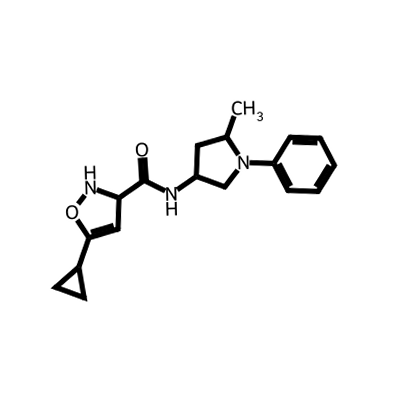 CC1CC(NC(=O)C2C=C(C3CC3)ON2)CN1c1ccccc1